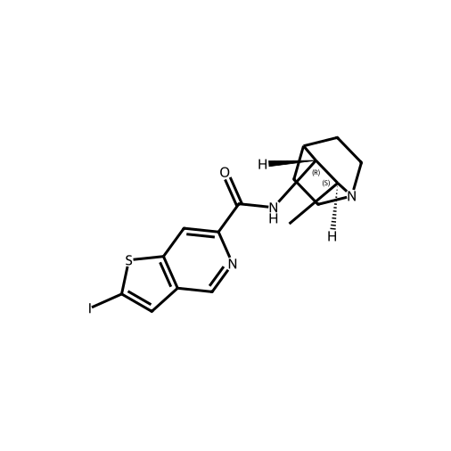 C[C@H]1[C@H](NC(=O)c2cc3sc(I)cc3cn2)C2CCN1CC2